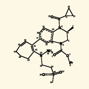 CC(C)OC(=O)N1C[C@H](C)N(C(=O)C2CC2)c2ccc(C3=C(N(N)CCS(C)(=O)=O)CCCC=C3)cc21